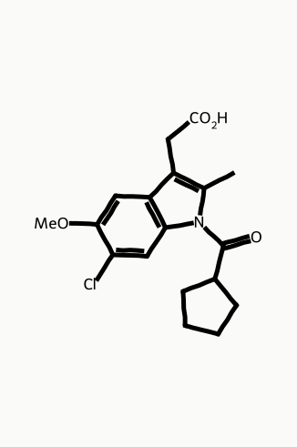 COc1cc2c(CC(=O)O)c(C)n(C(=O)C3CCCC3)c2cc1Cl